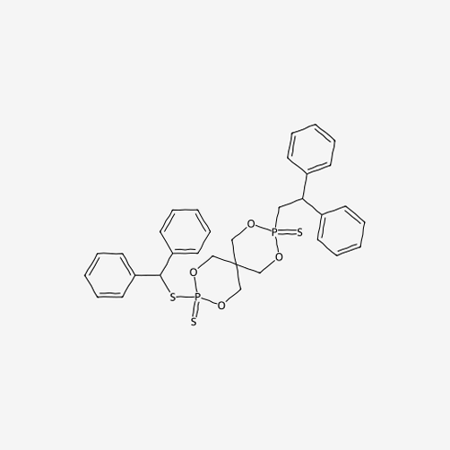 S=P1(CC(c2ccccc2)c2ccccc2)OCC2(CO1)COP(=S)(SC(c1ccccc1)c1ccccc1)OC2